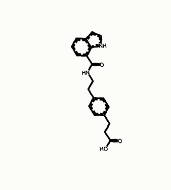 O=C(O)CCc1ccc(CCNC(=O)c2cccc3cc[nH]c23)cc1